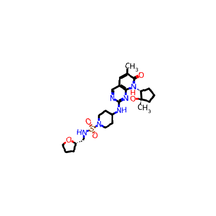 Cc1cc2cnc(NC3CCN(S(=O)(=O)NC[C@@H]4CCCO4)CC3)nc2n([C@@H]2CCC[C@@]2(C)O)c1=O